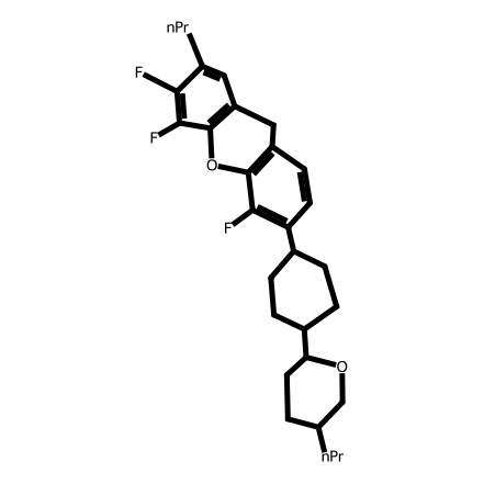 CCCc1cc2c(c(F)c1F)Oc1c(ccc(C3CCC(C4CCC(CCC)CO4)CC3)c1F)C2